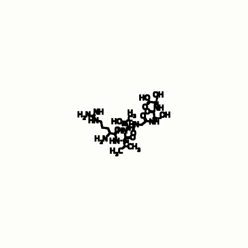 CC(C)[C@H](NC(=O)C(N)CCCNC(=N)N)C(=O)N[C@H](C(=O)NCC(=O)N[C@@H](CO)C(=O)N[C@@H](CO)C(=O)O)[C@H](C)O